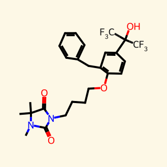 CN1C(=O)N(CCCCOc2ccc(C(O)(C(F)(F)F)C(F)(F)F)cc2Cc2ccccc2)C(=O)C1(C)C